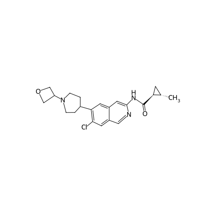 C[C@H]1C[C@@H]1C(=O)Nc1cc2cc(C3CCN(C4COC4)CC3)c(Cl)cc2cn1